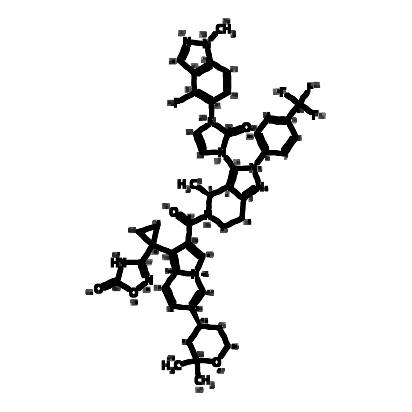 C[C@H]1c2c(nn(-c3ccc(C(F)(F)F)cc3)c2-n2ccn(-c3ccc4c(cnn4C)c3F)c2=O)CCN1C(=O)c1cn2cc([C@H]3CCOC(C)(C)C3)ccc2c1C1(c2noc(=O)[nH]2)CC1